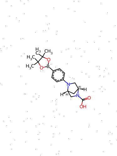 CC1(C)OB(c2ccc(N3C[C@H]4C[C@@H]3CN4C(=O)O)cc2)OC1(C)C